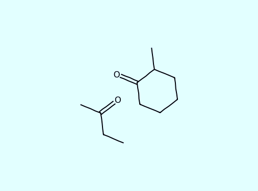 CC1CCCCC1=O.CCC(C)=O